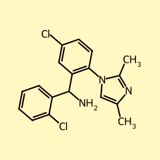 Cc1cn(-c2ccc(Cl)cc2C(N)c2ccccc2Cl)c(C)n1